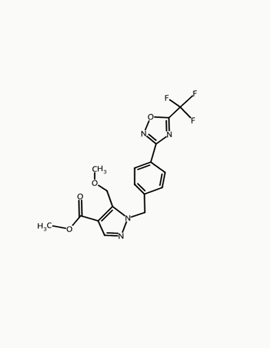 COCc1c(C(=O)OC)cnn1Cc1ccc(-c2noc(C(F)(F)F)n2)cc1